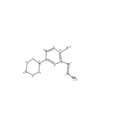 NN=Nc1cc(N2CCOCC2)ncc1F